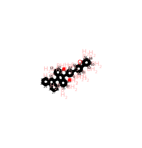 Bc1c(B)c(-c2c3c(B)c(B)c(B)c(B)c3c(-c3cc4ccccc4c4ccccc34)c3c(B)c(B)c(B)c(B)c23)c(B)c(B)c1-c1c(B)c(B)c2c(oc3c(B)c(B)c(B)c(B)c32)c1B